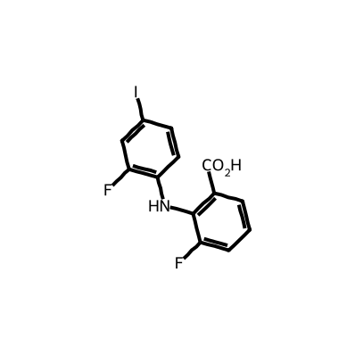 O=C(O)c1cccc(F)c1Nc1ccc(I)cc1F